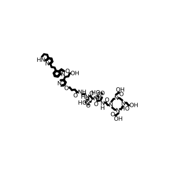 O=C(O)CC(c1cncc(OCCCC(=O)NCCNC(=O)[C@H](CS(=O)(=O)O)NC(=O)C(CS(=O)(=O)O)NC(=O)CN2CCN(CC(=O)O)CCN(CC(O)O)CCN(CC(=O)O)CC2)c1)n1ccc2c(CCc3ccc4c(n3)NCCC4)cccc21